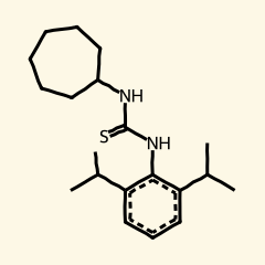 CC(C)c1cccc(C(C)C)c1NC(=S)NC1CCCCCC1